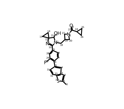 Cc1cc2cc(-c3ccc(C4=NC5(CC5)C(O)N4CC4CN(C(=O)C5CC5)C4)cc3F)ccc2s1